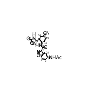 CC(=O)Nc1ccc2onc(C(=O)Nc3ccc(C#N)cc3-c3noc(=O)[nH]3)c2c1